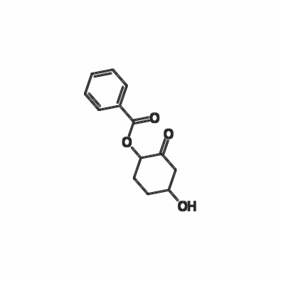 O=C(OC1CCC(O)CC1=O)c1ccccc1